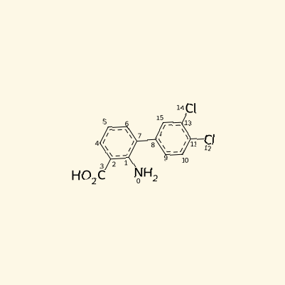 Nc1c(C(=O)O)cccc1-c1ccc(Cl)c(Cl)c1